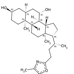 Cc1noc(CC[C@@H](C)[C@H]2CC[C@H]3[C@@H]4[C@@H](O)C[C@@H]5C[C@H](O)CC[C@]5(C)[C@H]4CC[C@]23C)n1